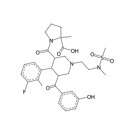 Cc1c(F)cccc1C1C(C(=O)c2cccc(O)c2)CN(CCN(C)S(C)(=O)=O)CC1C(=O)N1CCCC1(C)C(=O)O